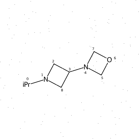 CC(C)N1CC(N2COC2)C1